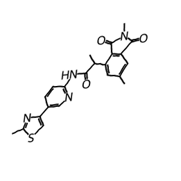 Cc1cc2c(c(C(C)C(=O)Nc3ccc(-c4csc(C)n4)cn3)c1)C(=O)N(C)C2=O